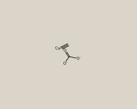 C#C.O=C([O-])[O-].[Ca+2]